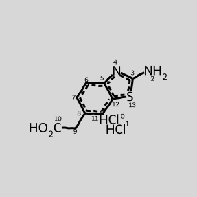 Cl.Cl.Nc1nc2ccc(CC(=O)O)cc2s1